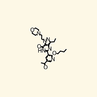 CCCCOc1ncc(C(C)=O)cc1-c1nc2c(CC)nn(CCN3CCOCC3)c2c(=O)[nH]1